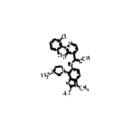 Cc1nc2c(N3CC[C@H](N)C3)c(NC(=O)c3ccnn(-c4c(Cl)cccc4Cl)c3=O)ccc2n1C.Cl